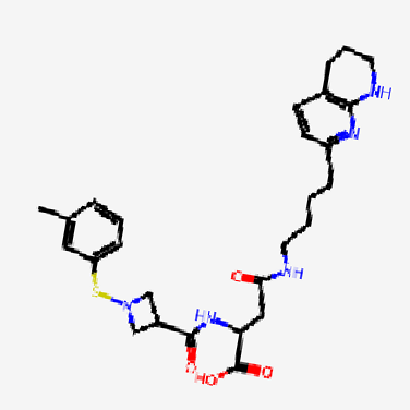 Cc1cccc(SN2CC(C(=O)NC(CC(=O)NCCCCc3ccc4c(n3)NCCC4)C(=O)O)C2)c1